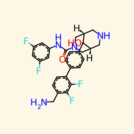 NCc1ccc(-c2ccc([C@@]3(O)[C@@H]4CNC[C@H]3CN(C(=O)Nc3cc(F)cc(F)c3)C4)cc2)c(F)c1F